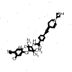 CC1(C)[C@H](NC(=O)c2ccc(C#CC3CCN(C4CNC4)CC3)cc2)C(C)(C)[C@H]1Oc1ccc(C#N)c(Cl)c1